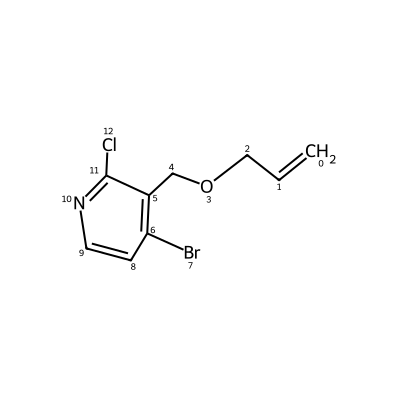 C=CCOCc1c(Br)ccnc1Cl